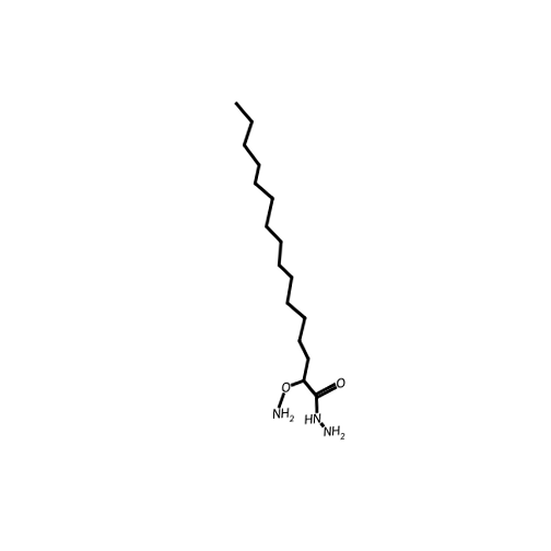 CCCCCCCCCCCCCCC(ON)C(=O)NN